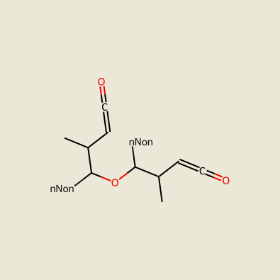 CCCCCCCCCC(OC(CCCCCCCCC)C(C)C=C=O)C(C)C=C=O